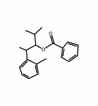 Cc1ccccc1C(C)C(OC(=O)c1ccccc1)C(C)C